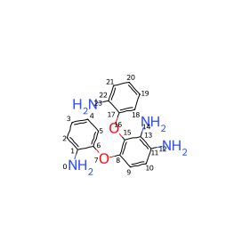 Nc1ccccc1Oc1ccc(N)c(N)c1Oc1ccccc1N